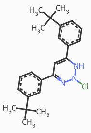 CC(C)(C)c1cccc(C2=CC(c3cccc(C(C)(C)C)c3)=NN(Cl)N2)c1